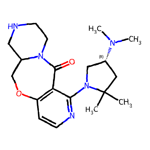 CN(C)[C@H]1CN(c2nccc3c2C(=O)N2CCNCC2CO3)C(C)(C)C1